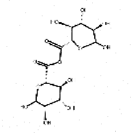 O=C(OC(=O)[C@H]1OC(O)[C@H](O)[C@@H](O)[C@@H]1O)[C@H]1OC(O)[C@H](O)[C@@H](O)[C@@H]1O